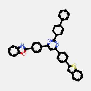 C1=CC(c2nc(-c3ccc(-c4nc5ccccc5o4)cc3)cc(-c3ccc(-c4cc5ccccc5s4)cc3)n2)CC=C1c1ccccc1